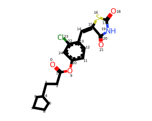 O=C(CCC1CCCC1)Oc1ccc(C=C2SC(=O)NC2=O)c(Cl)c1